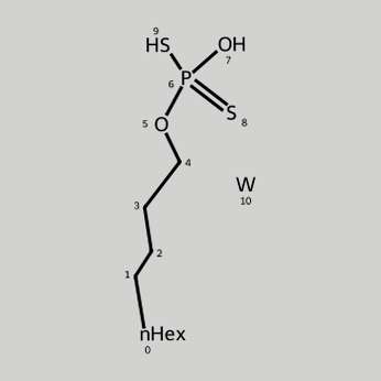 CCCCCCCCCCOP(O)(=S)S.[W]